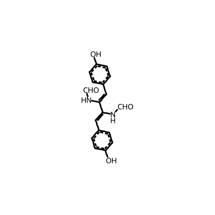 O=CNC(=Cc1ccc(O)cc1)C(=Cc1ccc(O)cc1)NC=O